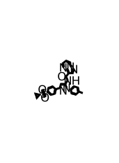 Cc1ccc(-n2nc(-c3ccc(S(=O)(=O)C4CC4)cc3)cc2NC(=O)c2cnn3cccnc23)cc1